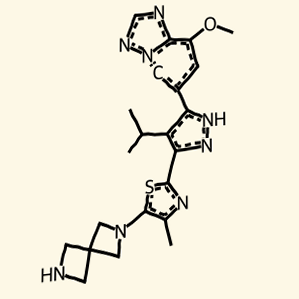 COc1cc(-c2[nH]nc(-c3nc(C)c(N4CC5(CNC5)C4)s3)c2C(C)C)cn2ncnc12